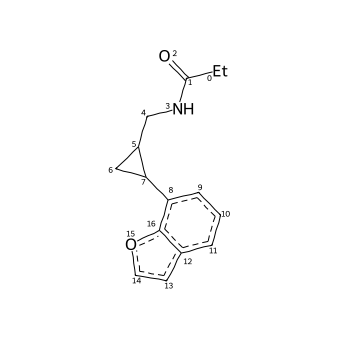 CCC(=O)NCC1CC1c1cccc2ccoc12